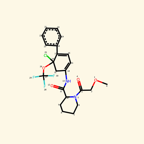 COCC(=O)N1CCCCC1C(=O)NC1=CC=C(c2ccccc2)C(Cl)(OC(F)(F)F)C1